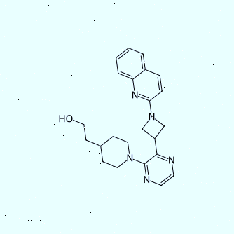 OCCC1CCN(c2nccnc2C2CN(c3ccc4ccccc4n3)C2)CC1